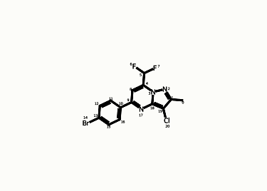 Cc1nn2c(C(F)F)cc(-c3ccc(Br)cc3)nc2c1Cl